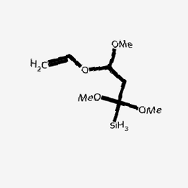 C=COC(CC([SiH3])(OC)OC)OC